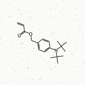 C=CC(=O)OCc1ccc(N(C(C)(C)C)C(C)(C)C)cc1